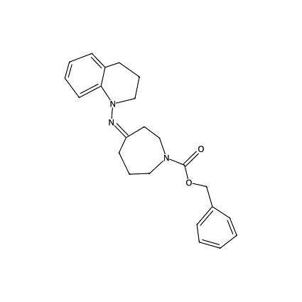 O=C(OCc1ccccc1)N1CCCC(=NN2CCCc3ccccc32)CC1